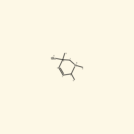 CC1C=CC(C)(C(C)(C)C)CN1C